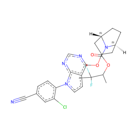 CC(OC(=O)N1[C@H]2CC[C@H]1CC(Oc1ncnc3c1ccn3-c1ccc(C#N)cc1Cl)C2)C(C)(F)F